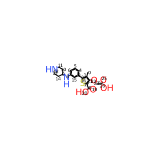 Cc1c(-c2cccc(NC3CCNCC3)c2)sc(C(=O)O)c1OCC(=O)O